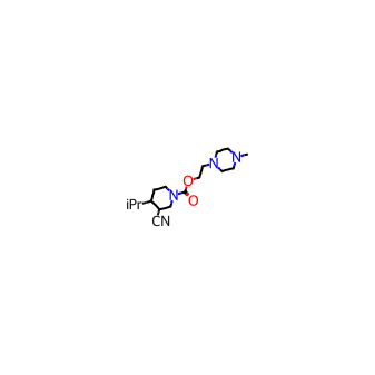 CC(C)C1CCN(C(=O)OCCN2CCN(C)CC2)CC1C#N